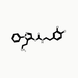 CCCc1c(OC(=O)NCCc2ccc(Cl)c(Cl)c2)cnn1-c1ccccc1